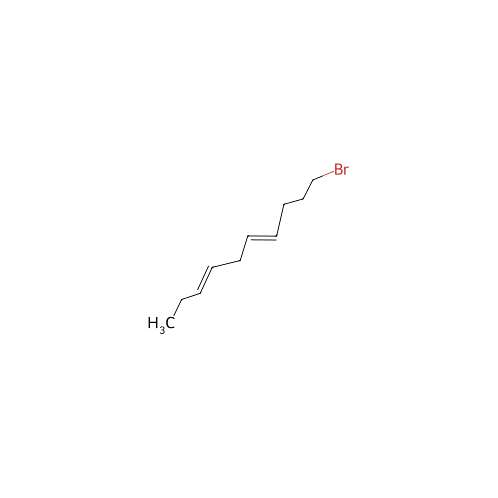 CCC=CCC=CCCCBr